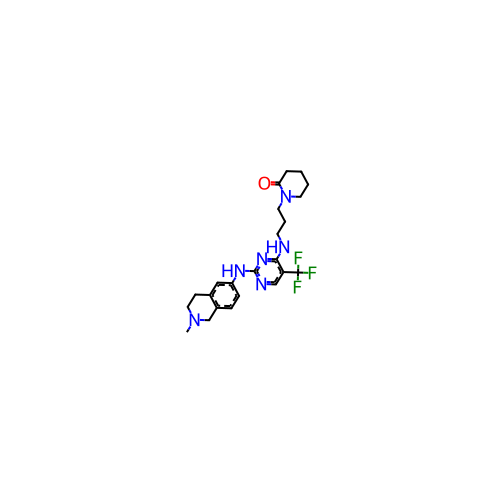 CN1CCc2cc(Nc3ncc(C(F)(F)F)c(NCCCN4CCCCC4=O)n3)ccc2C1